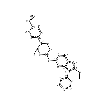 CCc1nc2ncc(CN3CCN(c4ccc(C=O)nc4)C4CC43)cc2n1-c1ccccc1